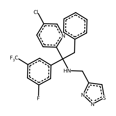 Fc1cc(C(F)(F)F)cc(C(Cc2ccccc2)(NCc2csnn2)c2ccc(Cl)cn2)c1